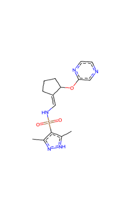 Cc1n[nH]c(C)c1S(=O)(=O)N/C=C1\CCCC1Oc1cnccn1